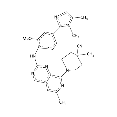 COc1cc(-c2ncc(C)n2C)ccc1Nc1ncc2cc(C)nc(N3CCC(C)(C#N)CC3)c2n1